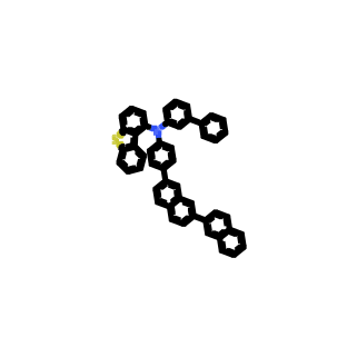 c1ccc(-c2cccc(N(c3ccc(-c4ccc5ccc(-c6ccc7ccccc7c6)cc5c4)cc3)c3cccc4sc5ccccc5c34)c2)cc1